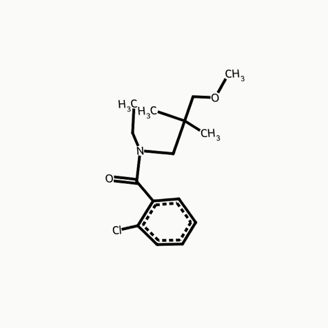 CCN(CC(C)(C)COC)C(=O)c1ccccc1Cl